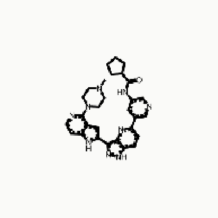 CN1CCN(c2nccc3[nH]c(-c4n[nH]c5ccc(-c6cncc(NC(=O)C7CCCC7)c6)nc45)cc23)CC1